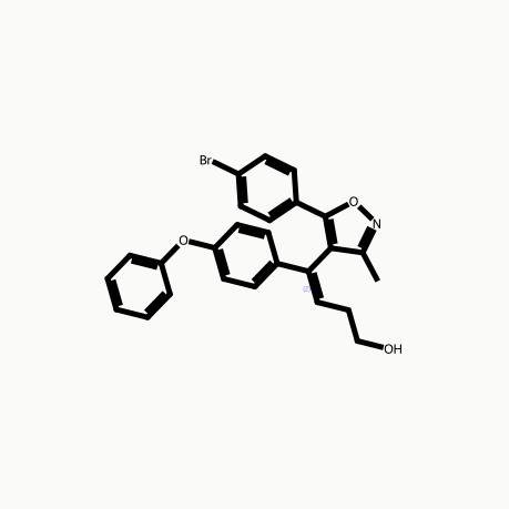 Cc1noc(-c2ccc(Br)cc2)c1/C(=C\CCO)c1ccc(Oc2ccccc2)cc1